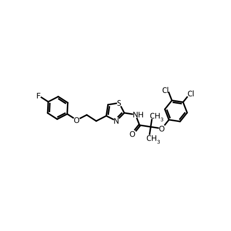 CC(C)(Oc1ccc(Cl)c(Cl)c1)C(=O)Nc1nc(CCOc2ccc(F)cc2)cs1